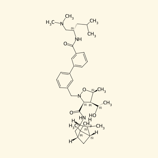 CC(C)C[C@@H](CN(C)C)NC(=O)c1cccc(-c2cccc(CN3O[C@@H](C)[C@@H]([C@H](C)O)[C@H]3C(=O)N[C@H]3C[C@H]4C[C@@H]([C@@H]3C)C4(C)C)c2)c1